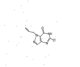 C=CCn1ncc2nc(Cl)[nH]c(=O)c21